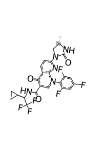 C[C@H]1CN(c2ccc3c(=O)c(C(=O)NC(C4CC4)C(F)(F)F)cn(-c4c(F)cc(F)cc4F)c3n2)C(=O)N1